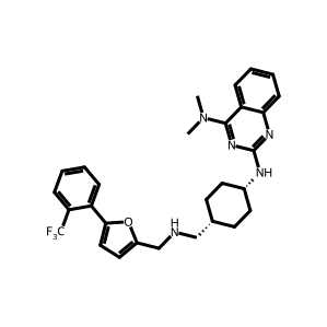 CN(C)c1nc(N[C@H]2CC[C@@H](CNCc3ccc(-c4ccccc4C(F)(F)F)o3)CC2)nc2ccccc12